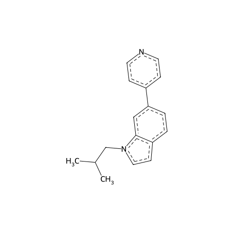 CC(C)Cn1ccc2ccc(-c3ccncc3)cc21